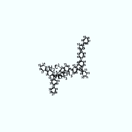 C=CC1=C(/C=C(\C)N(c2ccc(-c3ccccc3)cc2)c2ccc(-c3ccccc3)cc2)C(C)(C)c2cc(-c3ccc4c(c3)c3cc(-c5ccc(-c6ccc(-c7ccccc7)s6)cc5)ccc3n4-c3ccccc3)ccc21